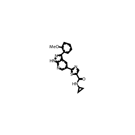 COc1ccccc1-c1n[nH]c2ncc(-c3ncc(C(=O)NC4CC4)s3)cc12